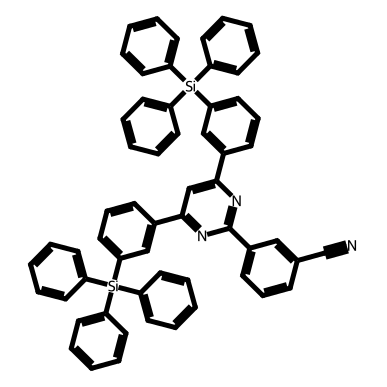 N#Cc1cccc(-c2nc(-c3cccc([Si](c4ccccc4)(c4ccccc4)c4ccccc4)c3)cc(-c3cccc([Si](c4ccccc4)(c4ccccc4)c4ccccc4)c3)n2)c1